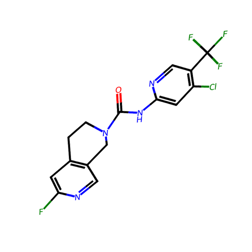 O=C(Nc1cc(Cl)c(C(F)(F)F)cn1)N1CCc2cc(F)ncc2C1